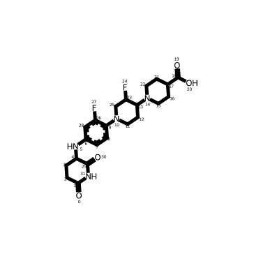 O=C1CCC(Nc2ccc(N3CCC(N4CCC(C(=O)O)CC4)C(F)C3)c(F)c2)C(=O)N1